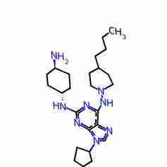 CCCCC1CCN(Nc2nc(N[C@H]3CC[C@H](N)CC3)nc3c2ncn3C2CCCC2)CC1